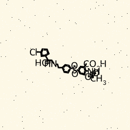 CS(=O)(=O)Nc1ccc(S(=O)(=O)c2ccc(CCNC[C@@H](O)c3cccc(Cl)c3)cc2)cc1C(=O)O